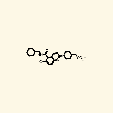 O=C(O)CC1CCN(c2ccc3c(C(=O)NCC4CCCCC4)c(Cl)ccc3n2)CC1